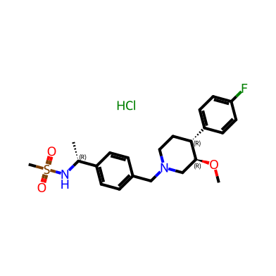 CO[C@H]1CN(Cc2ccc([C@@H](C)NS(C)(=O)=O)cc2)CC[C@@H]1c1ccc(F)cc1.Cl